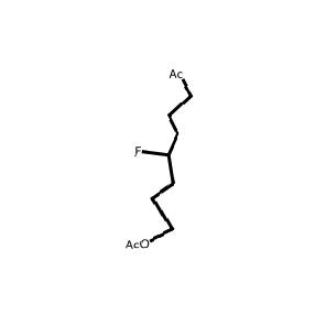 CC(=O)CCCC(F)CCCOC(C)=O